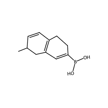 CC1C=CC2=C(C=C(B(O)O)CC2)C1